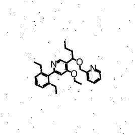 CCCC(OCc1ccccn1)c1cnc(-c2c(CC)cccc2CC)cc1OCC